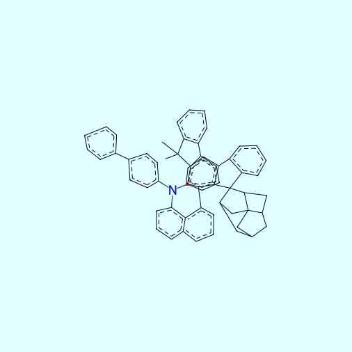 CC1(C)c2ccccc2-c2cccc(N(c3ccc(-c4ccccc4)cc3)c3cccc4cccc(-c5cccc6c5C5(c7ccccc7-6)C6CC7CC8CC5C8(C7)C6)c34)c21